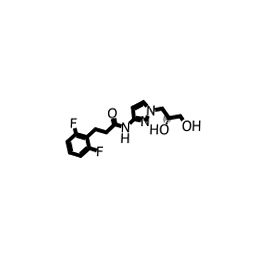 O=C(CCc1c(F)cccc1F)Nc1ccn(C[C@@H](O)CO)n1